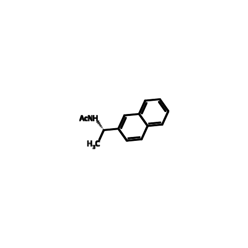 CC(=O)N[C@@H](C)c1ccc2ccccc2c1